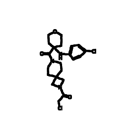 O=C(CCl)N1CC2(CCN(C(=O)C3(Nc4ccc(Cl)cc4)CCOCC3)CC2)C1